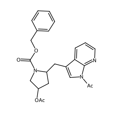 CC(=O)OC1CC(Cc2cn(C(C)=O)c3ncccc23)N(C(=O)OCc2ccccc2)C1